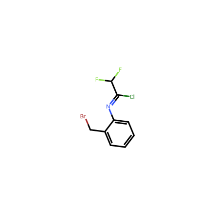 FC(F)C(Cl)=Nc1ccccc1CBr